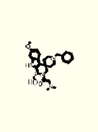 COc1ccc2c3c([nH]c2c1)[C@@H](CO)N(C(=O)CN(C)C)CC31CCN(CC2CCCCC2)CC1